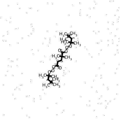 CC(C)(C)CC(C)(C)OOOC(=O)CCC(C)(C)C(=O)OOOC(C)(C)CC(C)(C)C